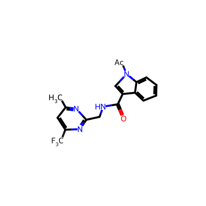 CC(=O)n1cc(C(=O)NCc2nc(C)cc(C(F)(F)F)n2)c2ccccc21